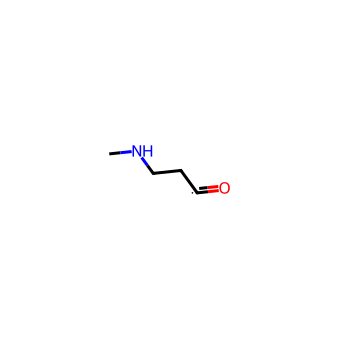 CNCC[C]=O